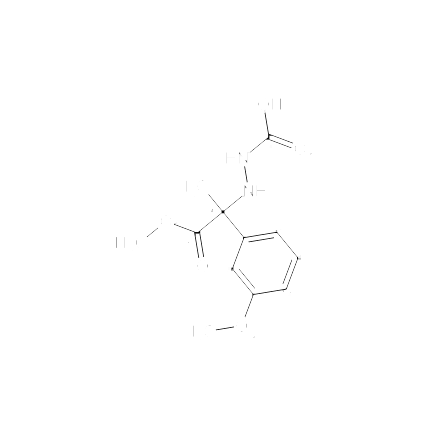 COC(=O)C(C)(NNC(=O)O)c1cccc(OC)c1